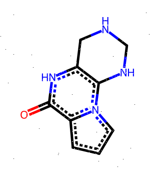 O=c1[nH]c2c(n3cccc13)NCNC2